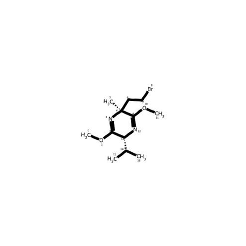 COC1=N[C@@](C)(CCBr)C(OC)=N[C@@H]1C(C)C